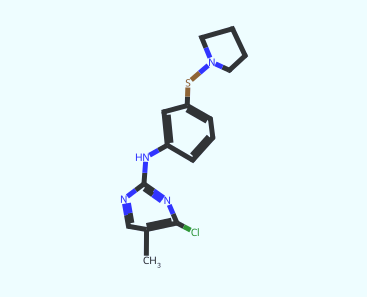 Cc1cnc(Nc2cccc(SN3CCCC3)c2)nc1Cl